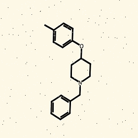 Cc1ccc(OC2CCN(Cc3ccccc3)CC2)cc1